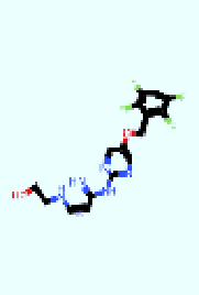 N=C(/C=C\NCCO)Nc1ncc(OCc2c(F)c(F)cc(F)c2F)cn1